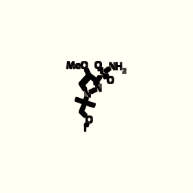 COc1cn(C(C)(C)COI)nc1S(N)(=O)=O